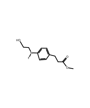 COC(=O)CCc1ccc(N(F)CCO)cc1